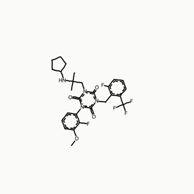 COc1cccc(-n2c(=O)n(Cc3c(F)cccc3C(F)(F)F)c(=O)n(CC(C)(C)NC3CCCC3)c2=O)c1F